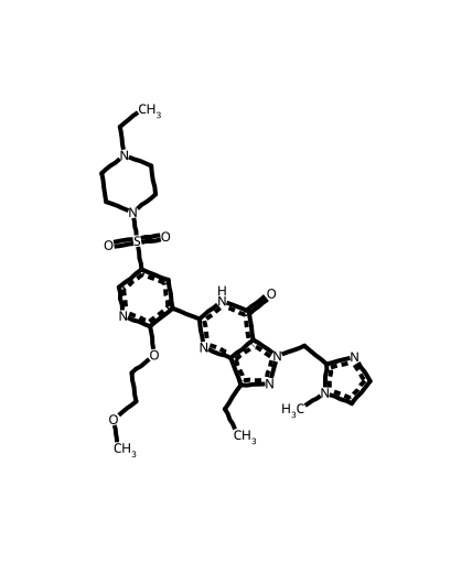 CCc1nn(Cc2nccn2C)c2c(=O)[nH]c(-c3cc(S(=O)(=O)N4CCN(CC)CC4)cnc3OCCOC)nc12